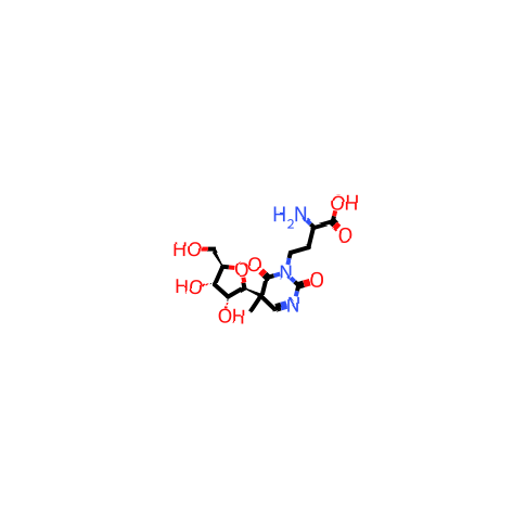 CC1([C@@H]2O[C@H](CO)[C@@H](O)[C@H]2O)C=NC(=O)N(CCC(N)C(=O)O)C1=O